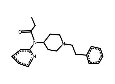 CCC(=O)N(c1ccccn1)C1CCN(CCc2ccccc2)CC1